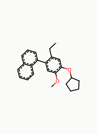 [CH2]Cc1cc(OC2CCCC2)c(OC)cc1-c1cccc2ccccc12